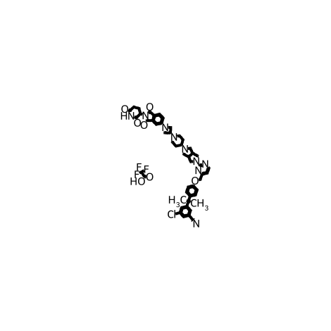 CC(C)(c1ccc(OCc2ccnc(N3CC4CN(C5CCN(C6CN(c7ccc8c(c7)C(=O)N(C7CCC(=O)NC7=O)C8=O)C6)CC5)CC4C3)n2)cc1)c1cc(Cl)cc(C#N)c1.O=C(O)C(F)(F)F